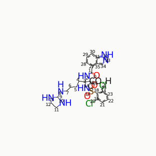 O=C(NC(CCCCNC1NCCN1)(NS(=O)(=O)c1c(Cl)cccc1Cl)C(=O)O)c1cccc2[nH]ncc12